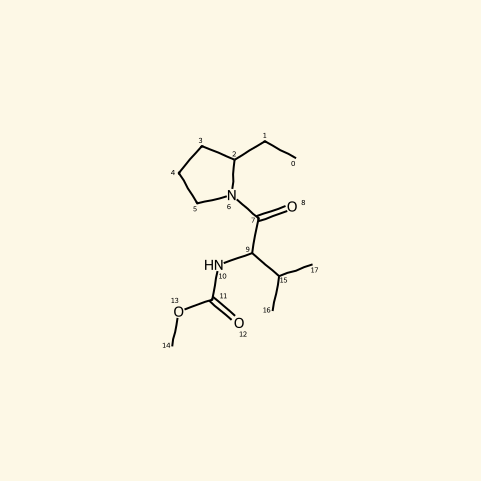 CCC1CCCN1C(=O)C(NC(=O)OC)C(C)C